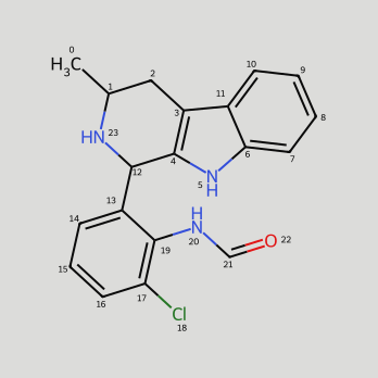 CC1Cc2c([nH]c3ccccc23)C(c2cccc(Cl)c2NC=O)N1